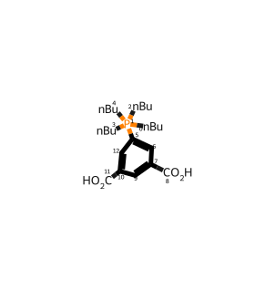 CCCCP(CCCC)(CCCC)(CCCC)c1cc(C(=O)O)cc(C(=O)O)c1